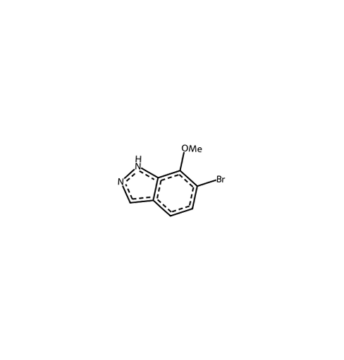 COc1c(Br)ccc2cn[nH]c12